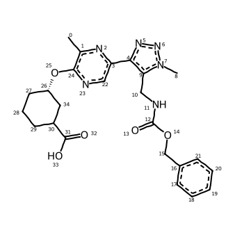 Cc1nc(-c2nnn(C)c2CNC(=O)OCc2ccccc2)cnc1O[C@H]1CCCC(C(=O)O)C1